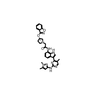 Cc1cnc(Nc2cc(C)n(C)n2)nc1-c1c[nH]c2c(NC(=O)CN3CC[C@H](Oc4noc5ccccc45)C3)cccc12